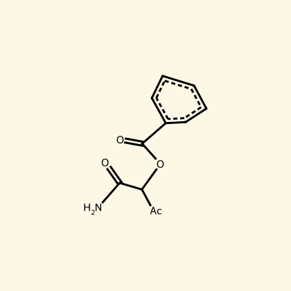 CC(=O)C(OC(=O)c1ccccc1)C(N)=O